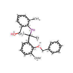 CCC(C)(Pc1c(C)cccc1CO)c1cccc(OC)c1OCc1ccccc1